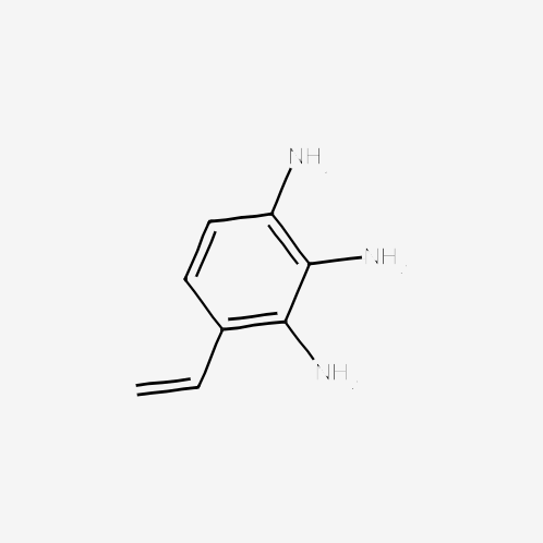 C=Cc1ccc(N)c(N)c1N